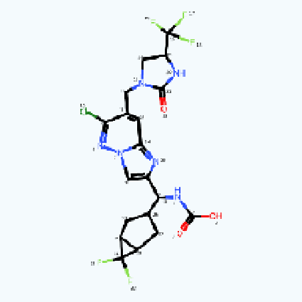 O=C(O)N[C@H](c1cn2nc(Cl)c(CN3CC(C(F)(F)F)NC3=O)cc2n1)C1CC2C(C1)C2(F)F